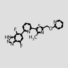 Cc1nc(COc2ccccn2)sc1-c1cccc(-c2cc(F)c3nn[nH]c3c2F)n1